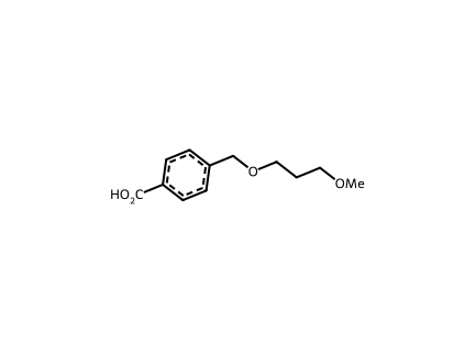 COCCCOCc1ccc(C(=O)O)cc1